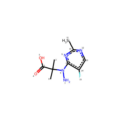 CC(C)(C(=O)O)N(N)c1nc([SiH3])ncc1F